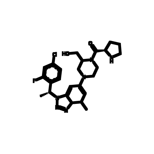 CC1C=C(N2CCN(C(=O)[C@H]3CCCN3)C(CO)C2)C=C2C1N=NN2[C@H](C)c1ccc(Cl)cc1F